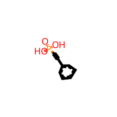 O=P(O)(O)C#Cc1ccccc1